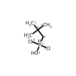 CC(C)(C)C[PH](O)(Cl)Cl